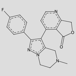 CN1CCn2nc(-c3ccc(F)cc3)c(-c3ccnc4c3C(=O)OC4)c2C1